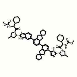 COC(=O)N[C@H](C(=O)N1CC(C)C[C@@H]1c1ncc(-c2ccc(-c3ccc(-c4ccc5nc([C@@H]6CC(C)CN6C(=O)[C@@H](NC(=O)OC)C6CCCCC6)[nH]c5c4)c4c3CC3(CCCC3)C4)c3c2CC2(CCCC2)C3)[nH]1)C1CCCCC1